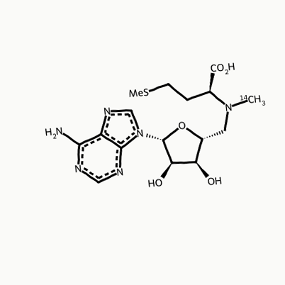 CSCC[C@@H](C(=O)O)N([14CH3])C[C@H]1O[C@@H](n2cnc3c(N)ncnc32)[C@H](O)[C@@H]1O